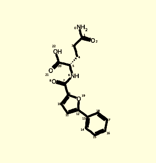 NC(=O)CC[C@H](NC(=O)c1ccc(-c2ccccc2)o1)C(=O)O